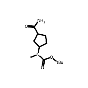 CN(C(=O)OC(C)(C)C)C1CCC(C(N)=O)C1